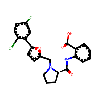 O=C(O)c1ccccc1NC(=O)[C@H]1CCCN1Cc1ccc(-c2cc(Cl)ccc2Cl)o1